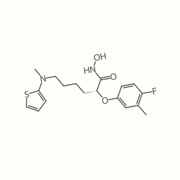 Cc1cc(O[C@H](CCCCN(C)c2cccs2)C(=O)NO)ccc1F